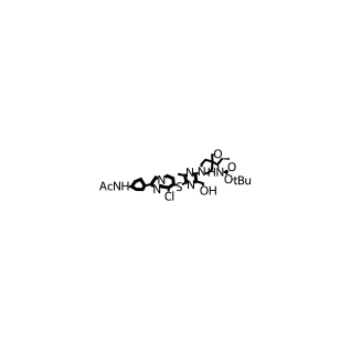 CC(=O)Nc1ccc(-c2cn3ccc(Sc4nc(CO)c(N5CCC6(CC5)CO[C@@H](C)[C@H]6NC(=O)OC(C)(C)C)nc4C)c(Cl)c3n2)cc1